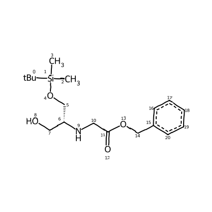 CC(C)(C)[Si](C)(C)OC[C@@H](CO)NCC(=O)OCc1ccccc1